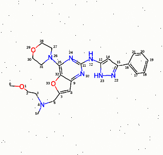 COCCN(C)Cc1cc2nc(Nc3cc(-c4ccccc4)n[nH]3)nc(N3CCOCC3)c2o1